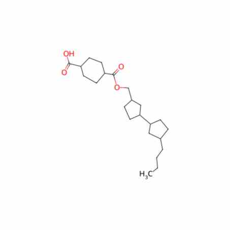 CCCCC1CCC(C2CCC(COC(=O)C3CCC(C(=O)O)CC3)C2)C1